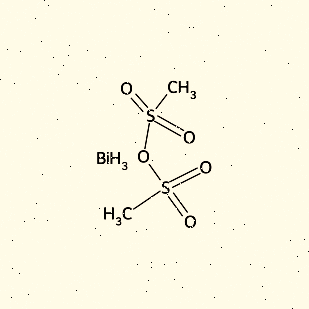 CS(=O)(=O)OS(C)(=O)=O.[BiH3]